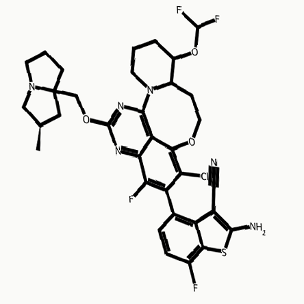 C[C@H]1CN2CCCC2(COc2nc3c4c(c(Cl)c(-c5ccc(F)c6sc(N)c(C#N)c56)c(F)c4n2)OCCC2C(OC(F)F)CCCN32)C1